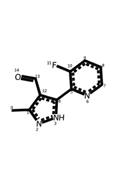 Cc1n[nH]c(-c2ncccc2F)c1C=O